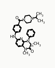 CC(C)N1CCN(C(=O)c2ccc(Nc3ccc4c(n3)N(c3ccccc3)[C@H](C)C(=O)N4C)cc2)CC1